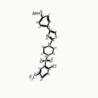 COc1ccc(-c2csc(N3CCN(S(=O)(=O)c4cc(C(F)(F)F)ccc4Cl)CC3)n2)cc1